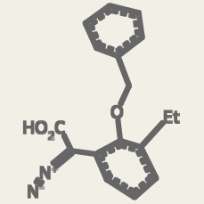 CCc1cccc(C(=[N+]=[N-])C(=O)O)c1OCc1ccccc1